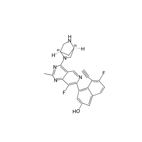 C#Cc1c(F)ccc2cc(O)cc(-c3ncc4c(N5C[C@H]6C[C@@H]5CN6)nc(C)nc4c3F)c12